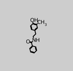 Cc1cc(CCNC(=O)c2ccccc2)ccc1O